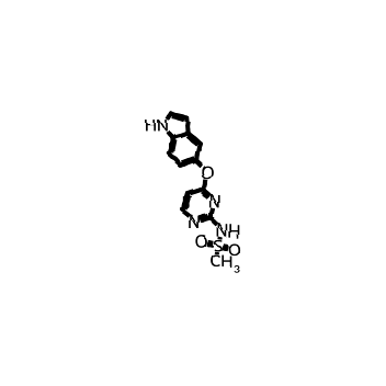 CS(=O)(=O)Nc1nccc(Oc2ccc3[nH]ccc3c2)n1